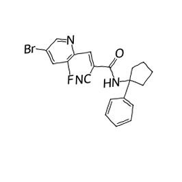 N#C/C(=C\c1ncc(Br)cc1F)C(=O)NC1(c2ccccc2)CCCC1